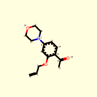 C=CCOc1cc(N2CCOCC2)ccc1C(C)=O